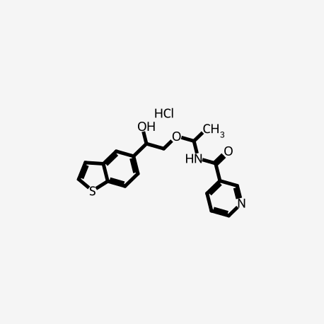 CC(NC(=O)c1cccnc1)OCC(O)c1ccc2sccc2c1.Cl